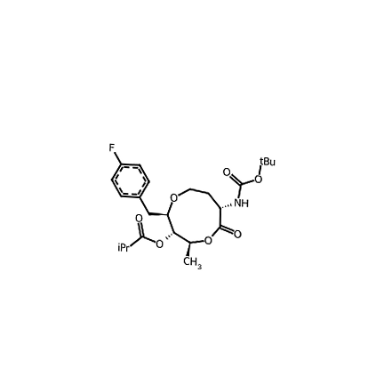 CC(C)C(=O)O[C@H]1[C@H](C)OC(=O)[C@@H](NC(=O)OC(C)(C)C)CCO[C@@H]1Cc1ccc(F)cc1